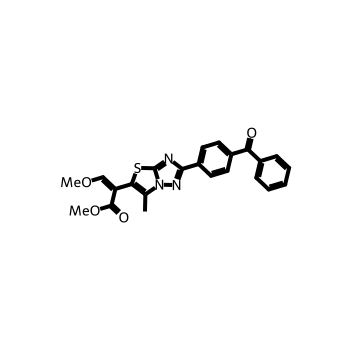 CO/C=C(\C(=O)OC)c1sc2nc(-c3ccc(C(=O)c4ccccc4)cc3)nn2c1C